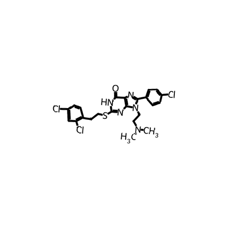 CN(C)CCn1c(-c2ccc(Cl)cc2)nc2c(=O)[nH]c(SCCc3ccc(Cl)cc3Cl)nc21